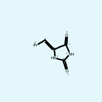 CC(C)/C=C1\NC(=O)NC1=O